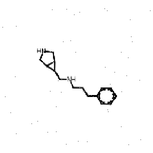 c1ccc(CCCNCC2C3CNCC23)cc1